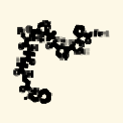 CCCCCCCC[C@H](NC(=O)[C@@H]1CCCN1C(=O)CCCCC)C(=O)N[C@@H](CC(C)C)C(=O)NC(C)(C)C(=O)N[C@@H](CC(C)C)C(=O)N[C@@H](CC(C)C)C(=O)NC(C)(C)C(=O)NC(C)(C)C(=O)NCCC(=O)N[C@@H](C)CN1CCCCC1